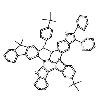 CC(C)(C)c1ccc(N2B3c4cc5sc(-c6ccccc6)c(-c6ccccc6)c5cc4-n4c5ccc(C(C)(C)C)cc5c5c6c(oc7ccccc76)c(c3c54)-c3cc4c(cc32)C(C)(C)c2ccccc2-4)cc1